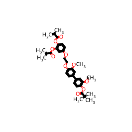 C=C(C)C(=O)Oc1ccc(OCCOc2ccc(-c3ccc(OC(=O)C(C)(C)C)c(OC)c3)cc2OC)cc1OC(=O)C(=C)C